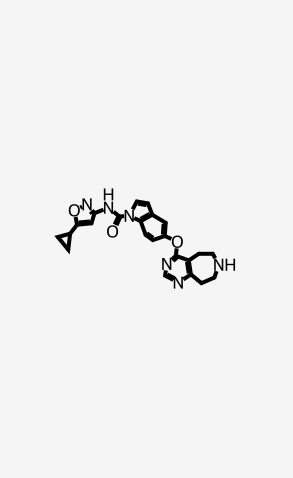 O=C(Nc1cc(C2CC2)on1)n1ccc2cc(Oc3ncnc4c3CCNCC4)ccc21